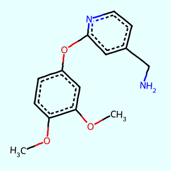 COc1ccc(Oc2cc(CN)ccn2)cc1OC